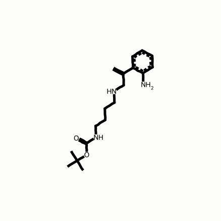 C=C(CNCCCCNC(=O)OC(C)(C)C)c1ccccc1N